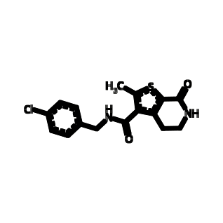 Cc1sc2c(c1C(=O)NCc1ccc(Cl)cc1)CCNC2=O